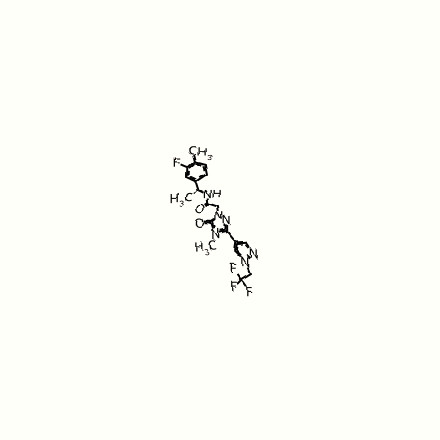 Cc1ccc([C@H](C)NC(=O)Cn2nc(-c3cnn(CC(F)(F)F)c3)n(C)c2=O)cc1F